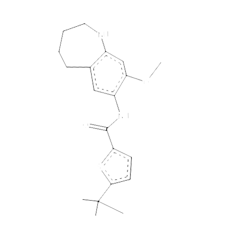 COc1cc2c(cc1NC(=O)c1ccc(C(C)(C)C)s1)CCCCN2